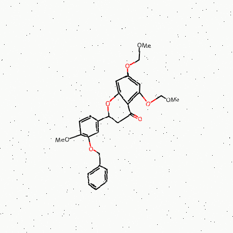 COCOc1cc(OCOC)c2c(c1)OC(c1ccc(OC)c(OCc3ccccc3)c1)CC2=O